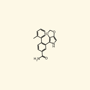 Cc1ccccc1-c1ccc(C(N)=O)cc1-c1[nH]cc2c1OCO2